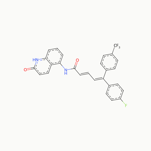 O=C(/C=C/C=C(/c1ccc(F)cc1)c1ccc(C(F)(F)F)cc1)Nc1cccc2[nH]c(=O)ccc12